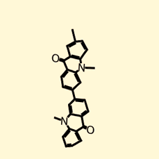 Cc1ccc2c(c1)c(=O)c1ccc(-c3ccc4c(=O)c5ccccc5n(C)c4c3)cc1n2C